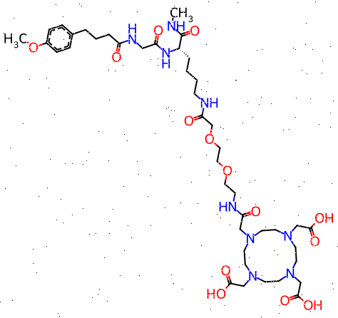 CNC(=O)[C@H](CCCCNC(=O)COCCOCCNC(=O)CN1CCN(CC(=O)O)CCN(CC(=O)O)CCN(CC(=O)O)CC1)NC(=O)CNC(=O)CCCc1ccc(OC)cc1